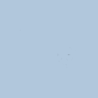 CCCCCCCCCCCCCCCCc1c(C(C)C)ccc(C(=O)O)c1C(=O)O